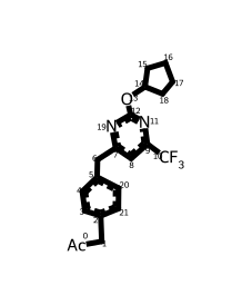 CC(=O)Cc1ccc(Cc2cc(C(F)(F)F)nc(OC3CCCC3)n2)cc1